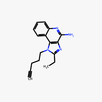 C#CCCCn1c(CC)nc2c(N)nc3ccccc3c21